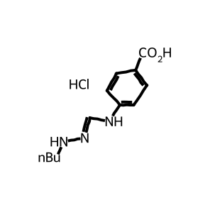 CCCCN/N=C/Nc1ccc(C(=O)O)cc1.Cl